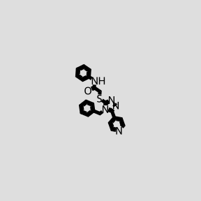 O=C(CSc1nnc(-c2ccncc2)n1Cc1ccccc1)Nc1ccccc1